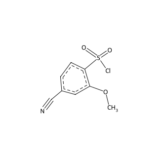 COc1cc(C#N)ccc1S(=O)(=O)Cl